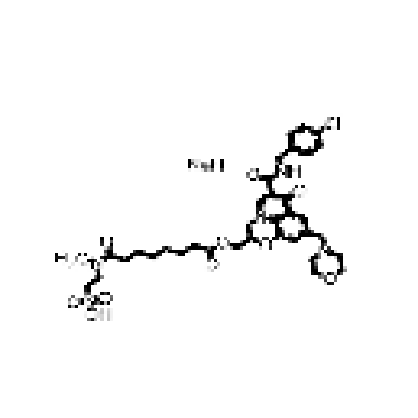 CN(CCS(=O)(=O)O)C(=O)CCCCCCC(=O)OCC1Cn2cc(C(=O)NCc3ccc(Cl)cc3)c(=O)c3cc(CN4CCOCC4)cc(c32)O1.[NaH]